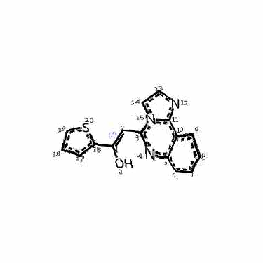 O/C(=C\c1nc2ccccc2c2nccn12)c1cccs1